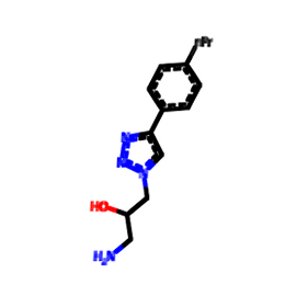 CCCc1ccc(-c2cn(CC(O)CN)nn2)cc1